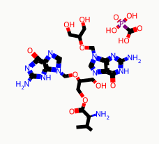 CC(C)[C@H](N)C(=O)OCC(CO)OCn1cnc2c(=O)nc(N)[nH]c21.Nc1nc2c(ncn2COC(CO)CO)c(=O)[nH]1.O=C(O)P(=O)(O)O